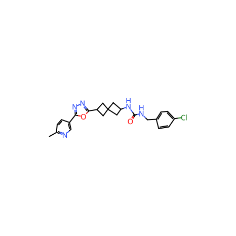 Cc1ccc(-c2nnc(C3CC4(CC(NC(=O)NCc5ccc(Cl)cc5)C4)C3)o2)cn1